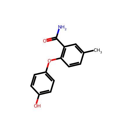 Cc1ccc(Oc2ccc(O)cc2)c(C(N)=O)c1